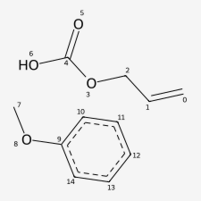 C=CCOC(=O)O.COc1ccccc1